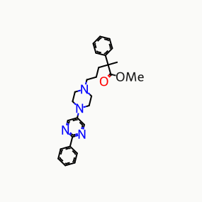 COC(=O)C(C)(CCCN1CCN(c2cnc(-c3ccccc3)nc2)CC1)c1ccccc1